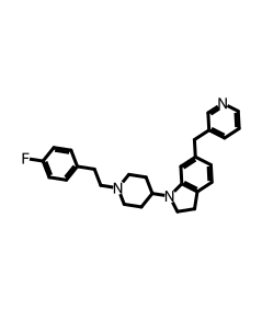 Fc1ccc(CCN2CCC(N3CCc4ccc(Cc5cccnc5)cc43)CC2)cc1